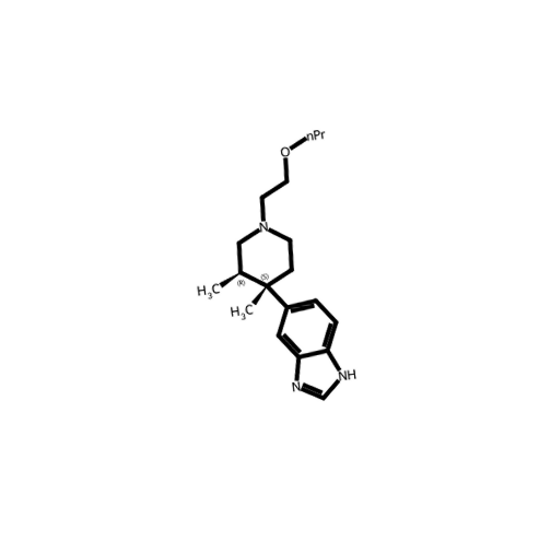 CCCOCCN1CC[C@](C)(c2ccc3[nH]cnc3c2)[C@@H](C)C1